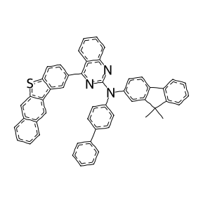 CC1(C)c2ccccc2-c2ccc(N(c3ccc(-c4ccccc4)cc3)c3nc(-c4ccc5sc6cc7ccccc7cc6c5c4)c4ccccc4n3)cc21